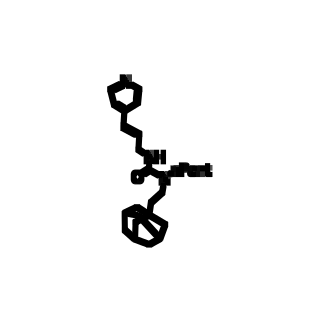 CCCCCN(CCC12CC3CC(CC(C3)C1)C2)C(=O)NC/C=C/c1ccncc1